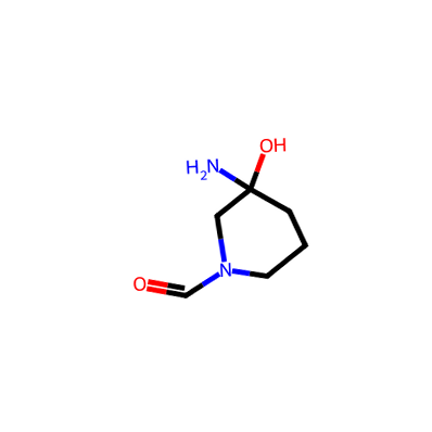 NC1(O)CCCN(C=O)C1